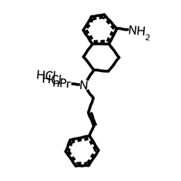 CCCN(CC=Cc1ccccc1)C1CCc2c(N)cccc2C1.Cl.Cl